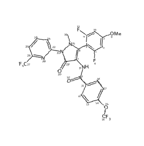 COc1cc(F)c(-c2c(NC(=O)c3ccc(OC(F)(F)F)cc3)c(=O)n(-c3cccc(C(F)(F)F)n3)n2C)c(F)c1